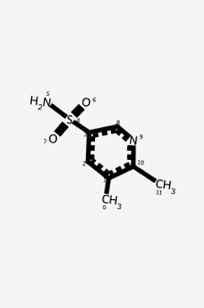 Cc1cc(S(N)(=O)=O)cnc1C